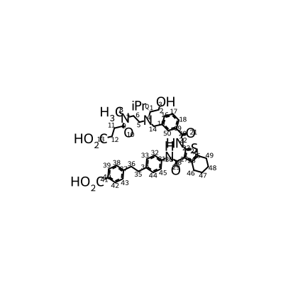 CC(C)[C@H](CO)N(CCN(C)C(=O)CCC(=O)O)Cc1cccc(C(=O)Nc2sc3c(c2C(=O)Nc2ccc(CCc4ccc(C(=O)O)cc4)cc2)CCCC3)c1